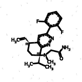 C=C[C@H]1CC[C@](C(C)C)(N(C)CC(N)=O)c2nnc(-c3c(F)cccc3F)cc21